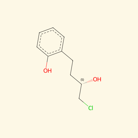 Oc1ccccc1CC[C@H](O)CCl